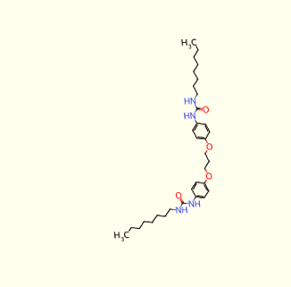 CCCCCCCCNC(=O)Nc1ccc(OCCCOc2ccc(NC(=O)NCCCCCCCC)cc2)cc1